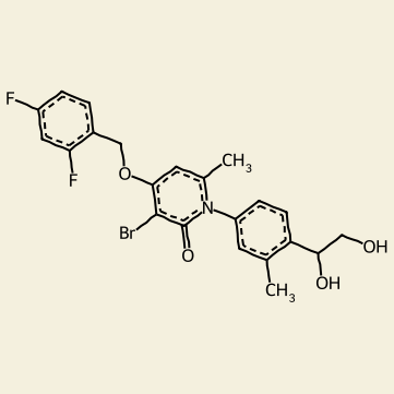 Cc1cc(-n2c(C)cc(OCc3ccc(F)cc3F)c(Br)c2=O)ccc1C(O)CO